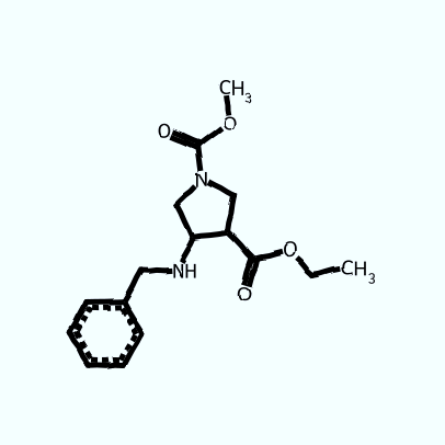 CCOC(=O)C1CN(C(=O)OC)CC1NCc1ccccc1